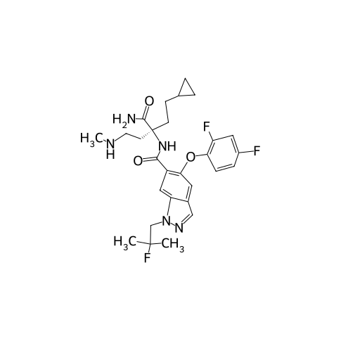 CNCC[C@](CCC1CC1)(NC(=O)c1cc2c(cnn2CC(C)(C)F)cc1Oc1ccc(F)cc1F)C(N)=O